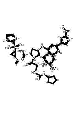 C=C[C@@H]1C[C@]1(NC(=O)[C@@H]1C[C@@H](Oc2cc(-c3csc(NC(C)C)n3)nc3cc(OC)ccc23)CN1C(=O)[C@@H](NC(=O)OC1CCCC1)C(C)(C)C)P(=O)(O)c1nccs1